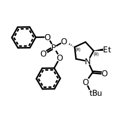 CC[C@@H]1C[C@@H](OP(=O)(Oc2ccccc2)Oc2ccccc2)CN1C(=O)OC(C)(C)C